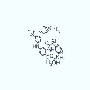 Cc1ccc(Nc2ccc(CN3CCN(C)CC3)c(C(F)(F)F)c2)cc1NC(=O)N(C)c1cc(NC(=O)O)ncn1